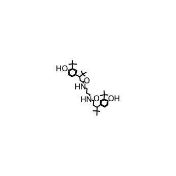 CC(C)(C)c1cc(C(CC(=O)NCCCNC(=O)CC(c2ccc(O)c(C(C)(C)C)c2)C(C)(C)C)C(C)(C)C)ccc1O